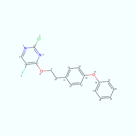 Fc1cnc(Cl)nc1OCCc1ccc(Oc2ccccc2)cc1